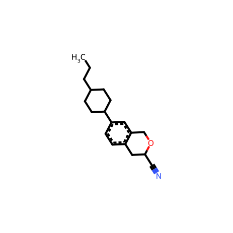 CCCC1CCC(c2ccc3c(c2)COC(C#N)C3)CC1